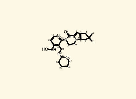 CC1(C)Cc2cc3n(c2C1)CCN(c1nccc(BO)c1COC1CCCCO1)C3=O